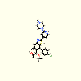 CC(=O)[C@@H](OC(C)(C)C)c1c(C)cc2nc(-c3ccnc(N4CCN(C)CC4)c3)sc2c1-c1ccc(Cl)cc1